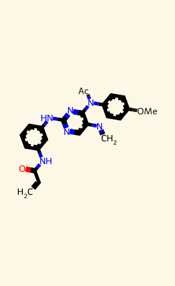 C=CC(=O)Nc1cccc(Nc2ncc(N=C)c(N(C(C)=O)c3ccc(OC)cc3)n2)c1